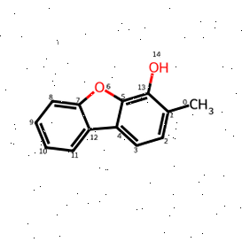 Cc1ccc2c(oc3ccccc32)c1O